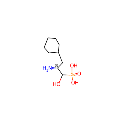 N[C@@H](CC1CCCCC1)C(O)P(=O)(O)O